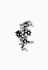 C#CCCC(NC(=O)[C@@H]1[C@H]2CCC3(CC3)[C@H]2CN1C(=O)[C@@H](NC(=O)N[C@H](CN(C)[S+](C)[O-])C(C)(C)C)C1CCCCC1)C(=O)C(=O)NCC=C